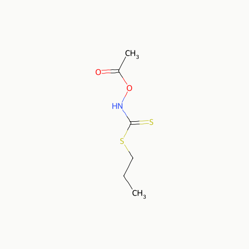 CCCSC(=S)NOC(C)=O